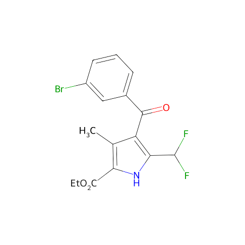 CCOC(=O)c1[nH]c(C(F)F)c(C(=O)c2cccc(Br)c2)c1C